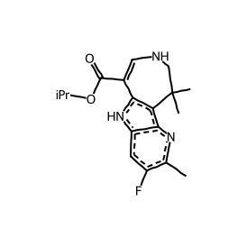 Cc1nc2c3c([nH]c2cc1F)C(C(=O)OC(C)C)=CNCC3(C)C